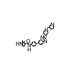 O=C(Nc1ccc(-c2ccc3ncc(N4CCN(Cc5cccnc5)CC4)nc3c2)cc1)c1cc[nH]n1